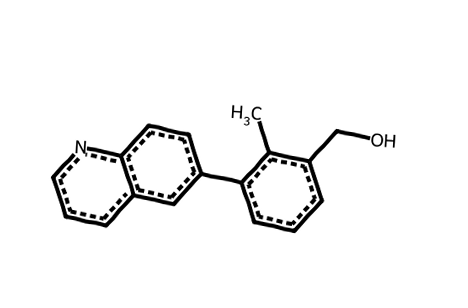 Cc1c(CO)cccc1-c1ccc2ncccc2c1